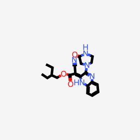 CCC(CC)COC(=O)C(C#N)=C1Nc2ccccc2N=C1N1CCNC(=O)C1